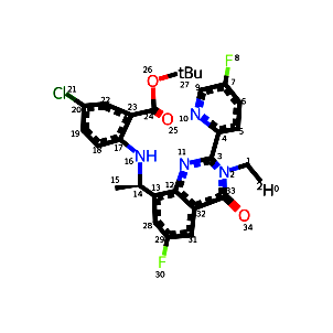 [2H]Cn1c(-c2ccc(F)cn2)nc2c([C@@H](C)Nc3ccc(Cl)cc3C(=O)OC(C)(C)C)cc(F)cc2c1=O